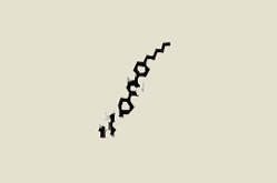 CCCCCCc1ccc(-c2ncc(-c3ccc(OC(=O)C4COC(C)(C)O4)cc3)cn2)cc1